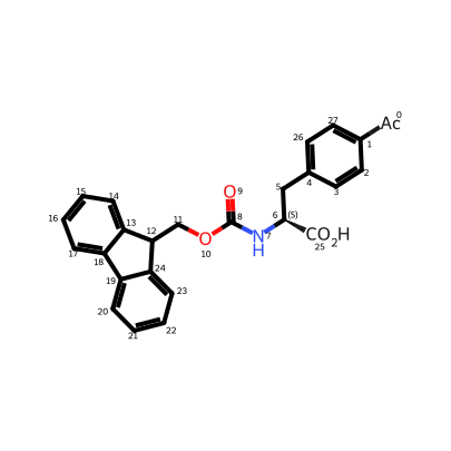 CC(=O)c1ccc(C[C@H](NC(=O)OCC2c3ccccc3-c3ccccc32)C(=O)O)cc1